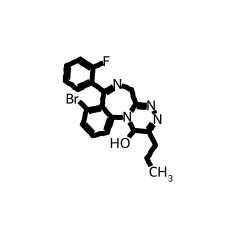 CCCC1=NN=C2CN=C(c3ccccc3F)c3c(Br)cccc3N2C1O